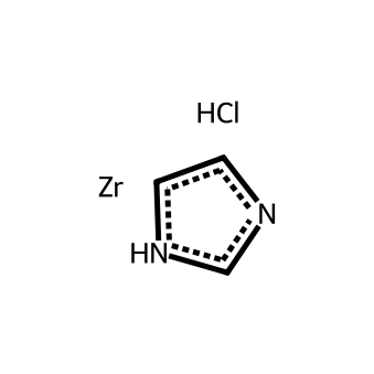 Cl.[Zr].c1c[nH]cn1